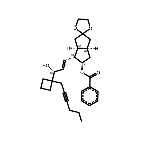 CCCC#CCC1([C@H](O)/C=C/[C@@H]2[C@H]3CC4(C[C@H]3C[C@H]2OC(=O)c2ccccc2)OCCO4)CCC1